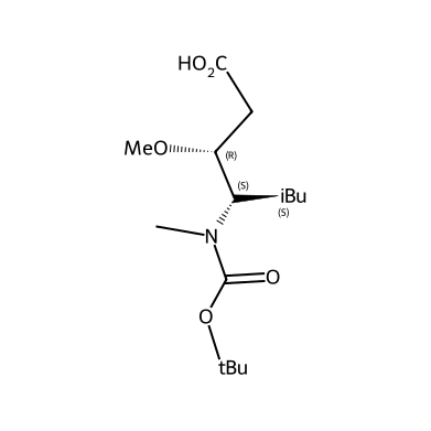 CC[C@H](C)[C@@H]([C@@H](CC(=O)O)OC)N(C)C(=O)OC(C)(C)C